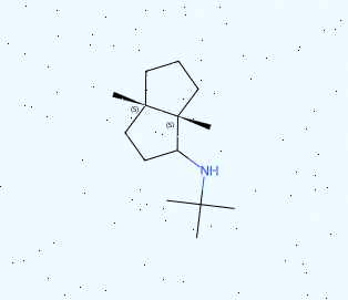 CC(C)(C)NC1CC[C@]2(C)CCC[C@]12C